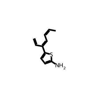 C=C/C(=C\C=C/C)c1ccc(N)s1